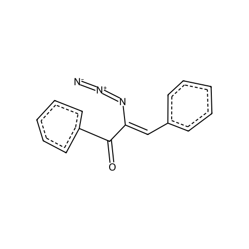 [N-]=[N+]=NC(=Cc1ccccc1)C(=O)c1ccccc1